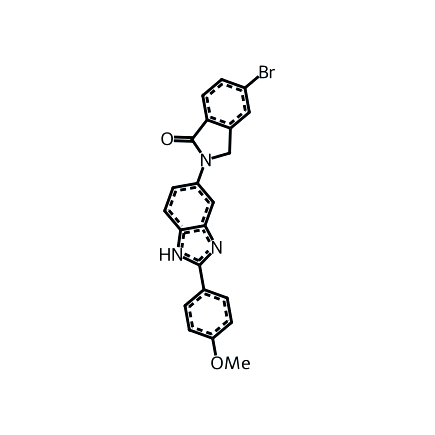 COc1ccc(-c2nc3cc(N4Cc5cc(Br)ccc5C4=O)ccc3[nH]2)cc1